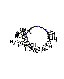 C=CCOC(=O)[C@H]1[C@@H]2C[C@@H](O[C@@H]3O[C@H](C)[C@@H](O)[C@H](N=[N+]=[N-])[C@H]3O)/C=C/C=C/C=C/C=C/C=C/C=C/C=C/[C@H](C)[C@@H](O)[C@@H](C)[C@H](C)OC(=O)C[C@H](O)C[C@H](O)CC[C@@H](O)[C@H](O)C[C@H](O)C[C@](OC)(C[C@@H]1O)O2